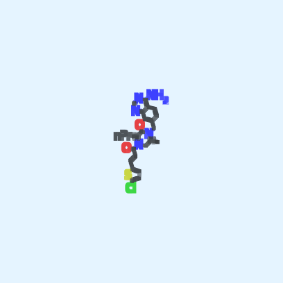 CCC[C@H]1C(=O)N(Cc2ccc3c(N)ncnc3c2)[C@@H](C)CN1C(=O)C=Cc1ccc(Cl)s1